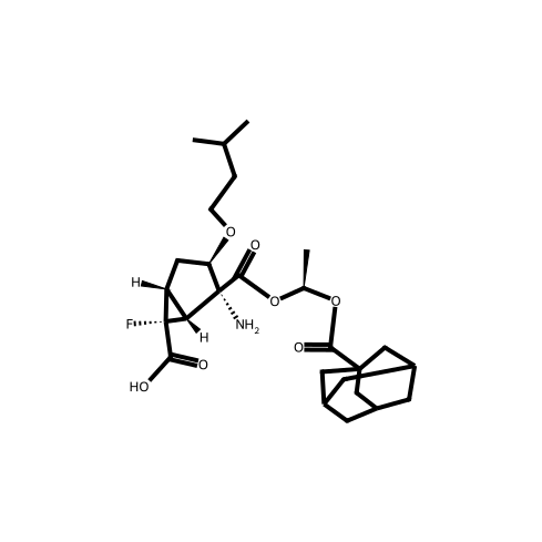 CC(C)CCO[C@@H]1C[C@@H]2[C@H]([C@]1(N)C(=O)O[C@@H](C)OC(=O)C13CC4CC(CC(C4)C1)C3)[C@@]2(F)C(=O)O